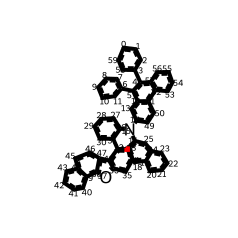 c1ccc(-c2c(-c3ccccc3)c3cc(N(c4ccc5ccccc5c4)c4ccccc4-c4cccc5oc6c7ccccc7ccc6c45)ccc3c3ccccc23)cc1